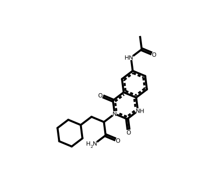 CC(=O)Nc1ccc2[nH]c(=O)n(C(CC3CCCCC3)C(N)=O)c(=O)c2c1